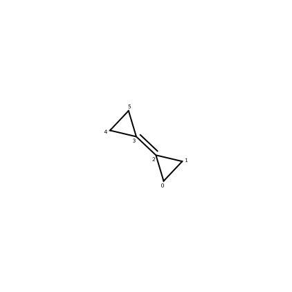 C1CC1=C1CC1